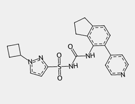 O=C(Nc1c(-c2ccncc2)ccc2c1CCC2)NS(=O)(=O)c1ccn(C2CCC2)n1